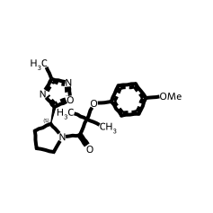 COc1ccc(OC(C)(C)C(=O)N2CCC[C@H]2c2nc(C)no2)cc1